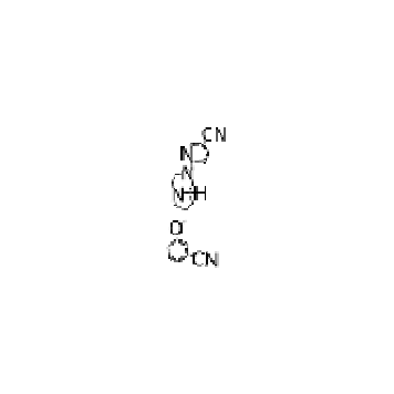 N#Cc1ccc(N2CCN3C[C@@H](COc4cccc(C#N)c4)C[C@H]3C2)nc1